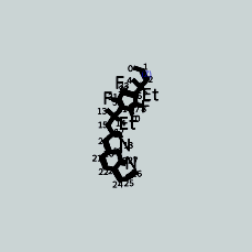 C/C=C\C(C)(CC)c1c(F)c(F)c(C(C)(CC)Cc2cnc3c(ccc4cccnc43)c2)c(F)c1F